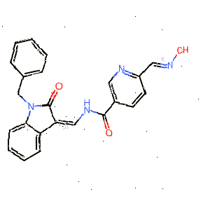 O=C(N/C=C1\C(=O)N(Cc2ccccc2)c2ccccc21)c1ccc(/C=N/O)nc1